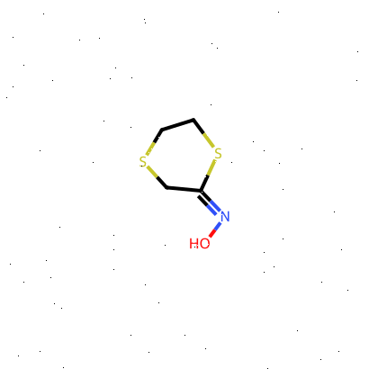 ON=C1CSCCS1